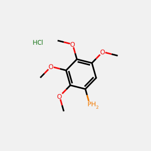 COc1cc(P)c(OC)c(OC)c1OC.Cl